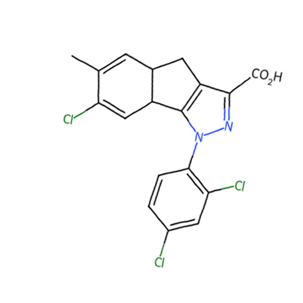 CC1=CC2Cc3c(C(=O)O)nn(-c4ccc(Cl)cc4Cl)c3C2C=C1Cl